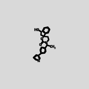 CC(c1ccc(-c2cccnc2)cc1)N1CCC(CCO)(c2ccccc2)OC1=O